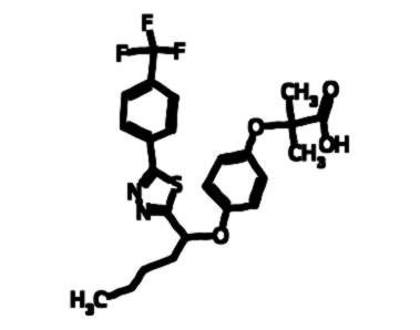 CCCCC(Oc1ccc(OC(C)(C)C(=O)O)cc1)c1nnc(-c2ccc(C(F)(F)F)cc2)s1